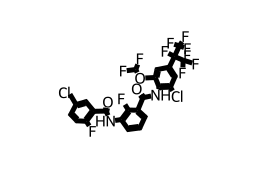 O=C(Nc1cccc(C(=O)Nc2c(Cl)cc(C(F)(C(F)(F)F)C(F)(F)F)cc2OC(F)F)c1F)c1cc(Cl)ccc1F